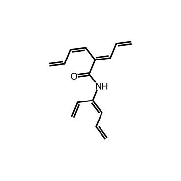 C=C/C=C\C(=C/C=C)C(=O)N/C(C=C)=C/C=C